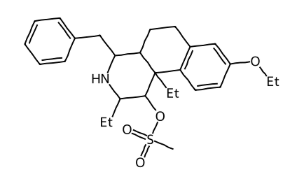 CCOc1ccc2c(c1)CCC1C(Cc3ccccc3)NC(CC)C(OS(C)(=O)=O)C21CC